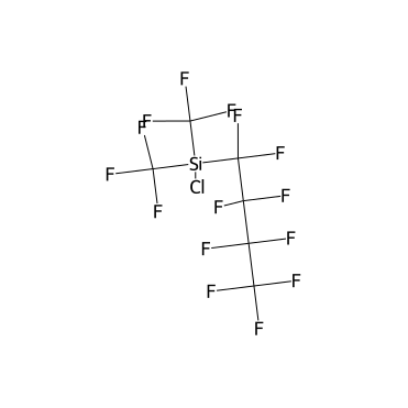 FC(F)(F)C(F)(F)C(F)(F)C(F)(F)[Si](Cl)(C(F)(F)F)C(F)(F)F